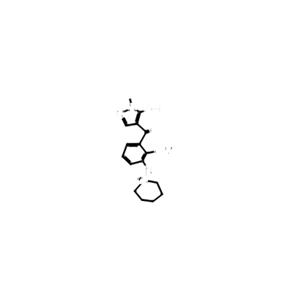 COc1c(N=S2(=O)CCCCC2)cccc1C(=O)c1cnn(C)c1O